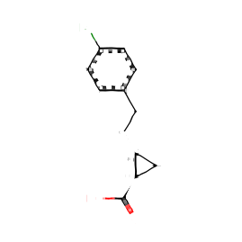 O=C(O)[C@@H]1C[C@H]1CCc1ccc(Br)cc1